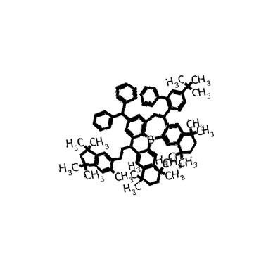 Cc1cc2c(cc1CCC1c3cc4c(cc3B3c5cc6c(cc5C(c5ccc(C(C)(C)C)cc5-c5ccccc5)Cc5cc(C(c7ccccc7)c7ccccc7)cc1c53)C(C)(C)CCC6(C)C)C(C)(C)CCC4(C)C)C(C)(C)CC2(C)C